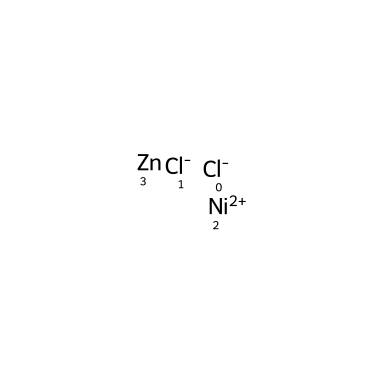 [Cl-].[Cl-].[Ni+2].[Zn]